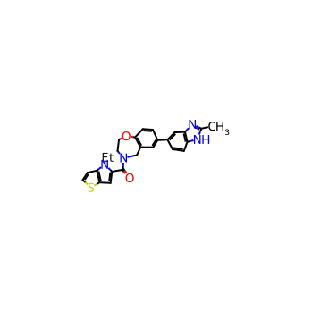 CCn1c(C(=O)N2CCOc3ccc(-c4ccc5[nH]c(C)nc5c4)cc3C2)cc2sccc21